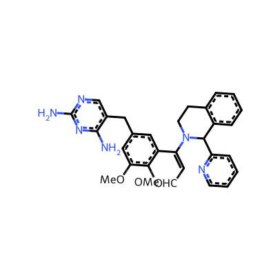 COc1cc(Cc2cnc(N)nc2N)cc(C(=CC=O)N2CCc3ccccc3C2c2ccccn2)c1OC